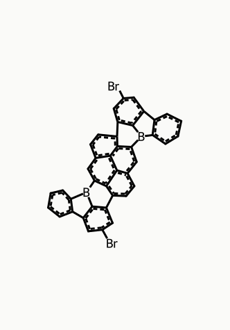 Brc1cc2c3c(c1)-c1ccc4cc5c6c(ccc7cc(c1c4c76)B3c1ccccc1-2)-c1cc(Br)cc2c1B5c1ccccc1-2